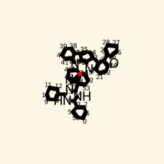 c1ccc(C2NC(c3ccccc3)NC(c3ccc(-n4c5ccc6oc7ccccc7c6c5c5ccc6c7ccccc7n(-c7ccccc7)c6c54)cc3)N2)cc1